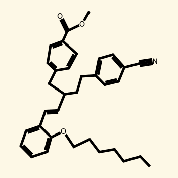 CCCCCCCOc1ccccc1C=CC(CCc1ccc(C#N)cc1)Cc1ccc(C(=O)OC)cc1